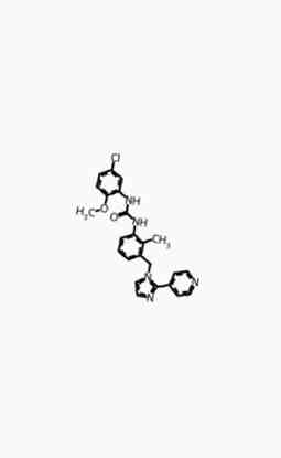 COc1ccc(Cl)cc1NC(=O)Nc1cccc(Cn2ccnc2-c2ccncc2)c1C